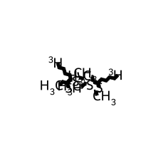 [3H]CCCC/C(S[C@@H](C)C[C@@H](CC)S/C(CC)=C(/CCCC[3H])SCC)=C(/S)CC